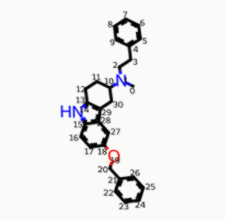 CN(CCc1ccccc1)C1CCc2[nH]c3ccc(OCc4ccccc4)cc3c2C1